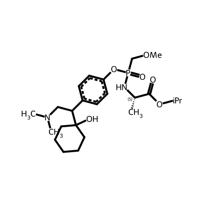 COCP(=O)(N[C@@H](C)C(=O)OC(C)C)Oc1ccc(C(CN(C)C)C2(O)CCCCC2)cc1